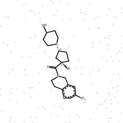 CC(C)[C@]1(C(=O)N2CCc3ncc(C(F)(F)F)cc3C2)CC[C@@H](N2CCC(O)CC2)C1